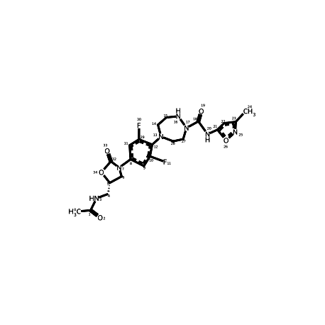 CC(=O)NC[C@H]1CN(c2cc(F)c(N3CCNN(C(=O)Nc4cc(C)no4)CC3)c(F)c2)C(=O)O1